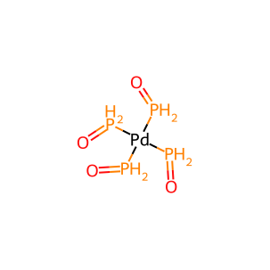 O=[PH2][Pd]([PH2]=O)([PH2]=O)[PH2]=O